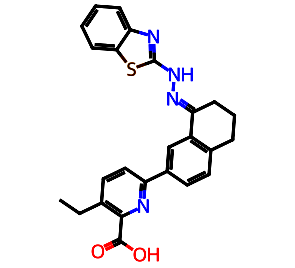 CCc1ccc(-c2ccc3c(c2)/C(=N/Nc2nc4ccccc4s2)CCC3)nc1C(=O)O